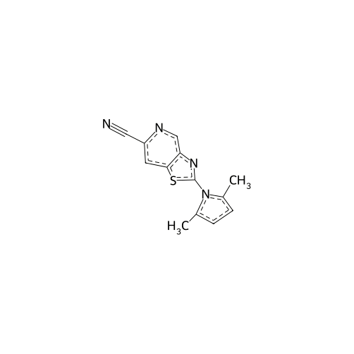 Cc1ccc(C)n1-c1nc2cnc(C#N)cc2s1